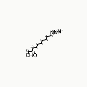 [N-]=[N+]=NCCCCCCCCCCC=O